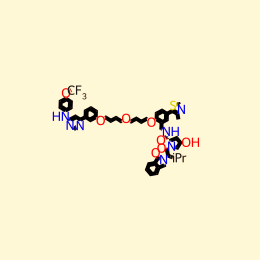 Cc1ncsc1-c1ccc(OCCCCOCCCCOc2cccc(-c3cc(Nc4ccc(OC(F)(F)F)cc4)ncn3)c2)c(CNC(=O)[C@@H]2C[C@@H](O)CN2C(=O)C(C(C)C)N2Cc3ccccc3C2=O)c1